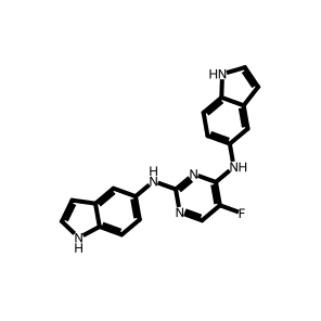 Fc1cnc(Nc2ccc3[nH]ccc3c2)nc1Nc1ccc2[nH]ccc2c1